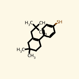 CC(C)(C)CC1=C(c2ccc(S)cc2)CCC(C)(C)C1